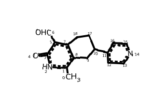 Cc1[nH]c(=O)c(C=O)c2c1CC(c1ccncc1)CC2